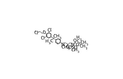 CN(CC(=O)CN(C(=O)OC(C)(C)C)S(C)(=O)=O)c1ccc(C(C)(C)c2cc(Cl)c(OCCCl)c(Cl)c2)cc1